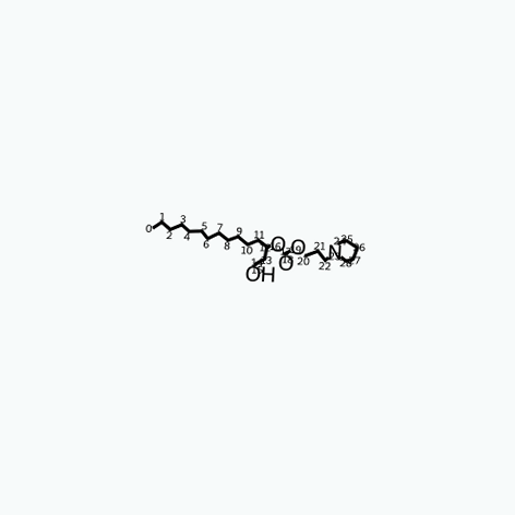 CCCCCCCCCCCCC(CCO)OC(=O)OCCCN1CCCCC1